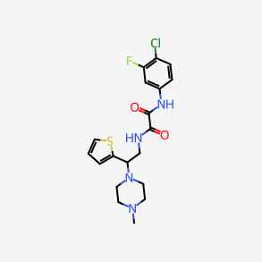 CN1CCN(C(CNC(=O)C(=O)Nc2ccc(Cl)c(F)c2)c2cccs2)CC1